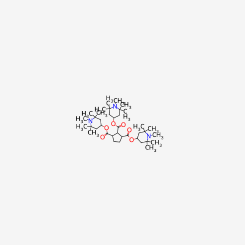 CN1C(C)(C)CC(OC(=O)C2CCC(C(=O)OC3CC(C)(C)N(C)C(C)(C)C3)C2C(=O)OC2CC(C)(C)N(C)C(C)(C)C2)CC1(C)C